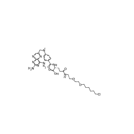 CN(Cc1cnc2nc(N)nc(N)c2n1)c1ccc(C(=O)NC(CCC(=O)NCCOCCOCCCCCCCl)C(=O)O)cc1